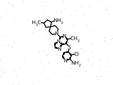 Cc1nc(N2CCC3(CC2)CC(C)CC3N)n2ccnc2c1Sc1ccnc(N)c1Cl